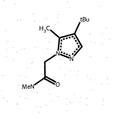 CNC(=O)Cn1ncc(C(C)(C)C)c1C